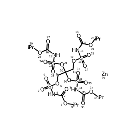 CC(C)OC(=O)NS(=O)(=O)OCC(COS(=O)(=O)NC(=O)OC(C)C)(OS(=O)(=O)NC(=O)OC(C)C)OS(=O)(=O)NC(=O)OC(C)C.[Zn]